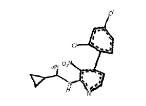 CCCC(Nc1nccc(-c2ccc(Cl)cc2Cl)c1[N+](=O)[O-])C1CC1